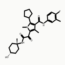 Cc1cc(NC(=O)c2c(C)c(C(=O)C(=O)N[C@]3(C)CC[C@H](O)CC3)n(C)c2C2CCCC2)ccc1F